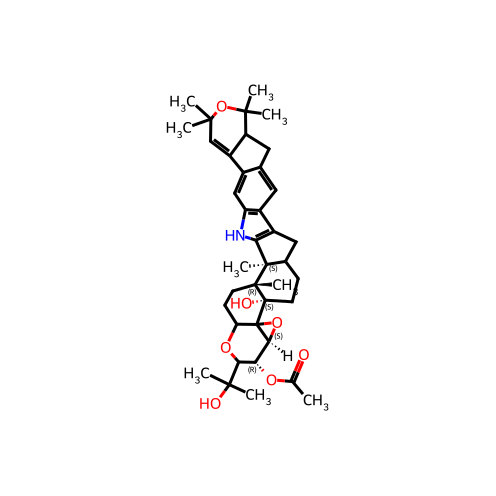 CC(=O)O[C@@H]1C(C(C)(C)O)OC2CC[C@]3(C)[C@@]4(C)c5[nH]c6cc7c(cc6c5CC4CC[C@@]3(O)C23O[C@@H]13)CC1C7=CC(C)(C)OC1(C)C